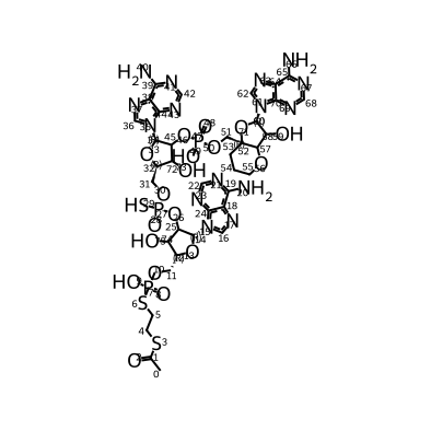 CC(=O)SCCSP(=O)(O)OC[C@H]1O[C@@H](n2cnc3c(N)ncnc32)C(OP(=O)(S)OC[C@H]2O[C@@H](n3cnc4c(N)ncnc43)C(OP(=O)(O)OC[C@]34CCCOC3C(O)[C@H](n3cnc5c(N)ncnc53)O4)C2O)C1O